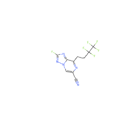 N#Cc1cn2nc(F)nc2c(CCC(F)(F)C(F)(F)F)n1